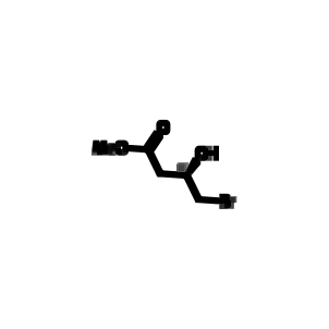 COC(=O)C[C@@H](O)CBr